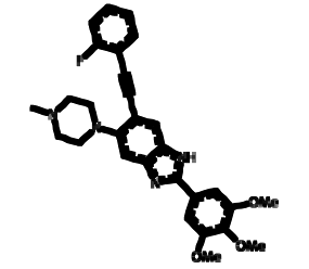 COc1cc(-c2nc3cc(N4CCN(C)CC4)c(C#Cc4ccccc4F)cc3[nH]2)cc(OC)c1OC